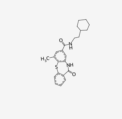 Cc1cc(C(=O)NCCC2CCCCC2)cc2c1Sc1ccccc1C(=O)N2